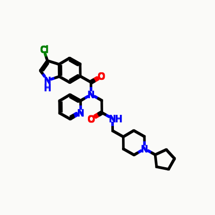 O=C(CN(C(=O)c1ccc2c(Cl)c[nH]c2c1)c1ccccn1)NCC1CCN(C2CCCC2)CC1